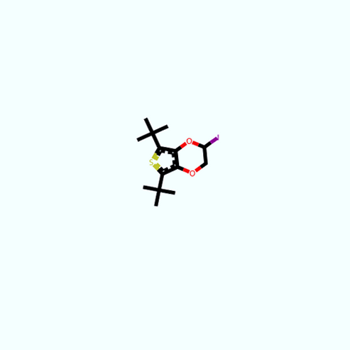 CC(C)(C)c1sc(C(C)(C)C)c2c1OCC(I)O2